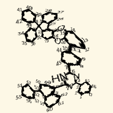 c1ccc(C2=NC(c3ccc(-c4cccc5c4Oc4ccc6c(c4O5)-c4ccccc4C6(c4ccccc4)c4ccccc4)cc3)NC(c3ccc(-c4ccccc4)c4ccccc34)=N2)cc1